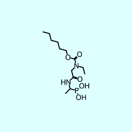 CCCCCCOC(=O)N(CC)CC(=O)NC(C)P(O)O